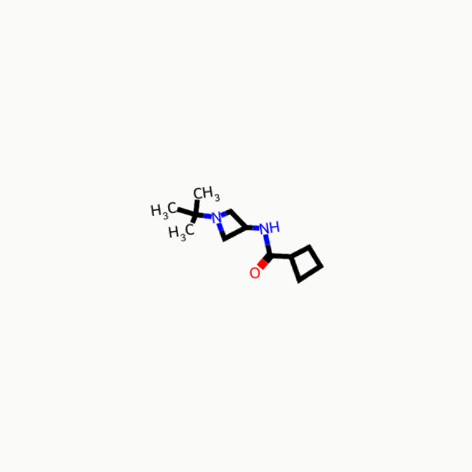 CC(C)(C)N1CC(NC(=O)C2CCC2)C1